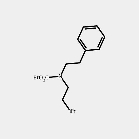 CCOC(=O)N(CCc1ccccc1)CCC(C)C